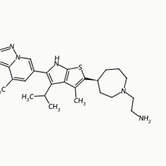 Cc1c([C@H]2CCCN(CCN)CC2)sc2[nH]c(-c3cc(C)c4ncnn4c3)c(C(C)C)c12